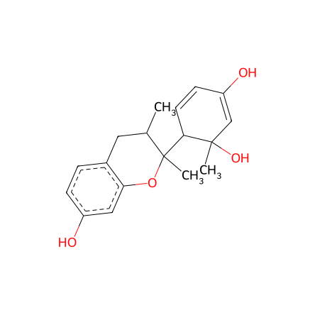 CC1Cc2ccc(O)cc2OC1(C)C1C=CC(O)=CC1(C)O